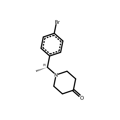 C[C@H](c1ccc(Br)cc1)N1CCC(=O)CC1